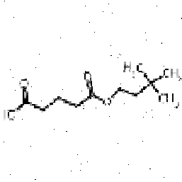 CC(C)(C)[CH]COC(=O)CCCC(=O)O